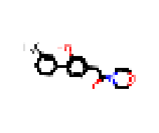 CC1=C[C@@H](c2ccc(CC(=O)N3CCOCC3)cc2O)CCC1